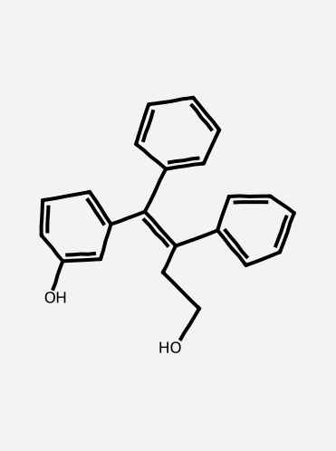 OCCC(=C(c1ccccc1)c1cccc(O)c1)c1ccccc1